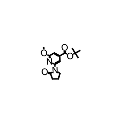 COc1cc(C(=O)OC(C)(C)C)cc(N2CCCC2=O)n1